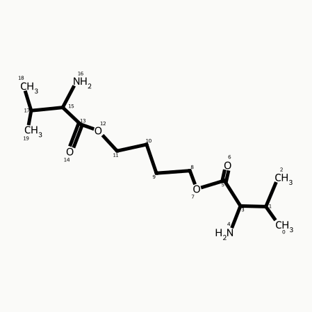 CC(C)C(N)C(=O)OCCCCOC(=O)C(N)C(C)C